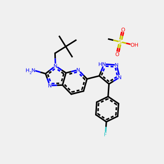 CC(C)(C)Cn1c(N)nc2ccc(-c3[nH]nnc3-c3ccc(F)cc3)nc21.CS(=O)(=O)O